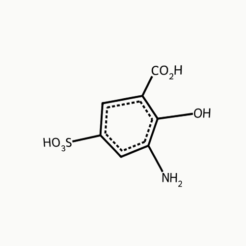 Nc1cc(S(=O)(=O)O)cc(C(=O)O)c1O